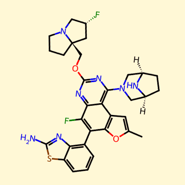 Cc1cc2c(o1)c(-c1cccc3sc(N)nc13)c(F)c1nc(OC[C@@]34CCCN3C[C@H](F)C4)nc(N3C[C@H]4CC[C@@H](C3)N4)c12